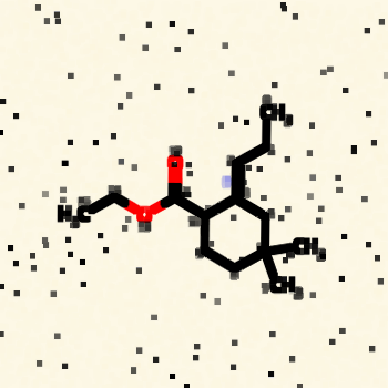 CC/C=C1\CC(C)(C)CCC1C(=O)OCC